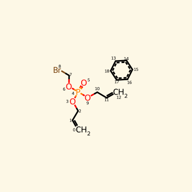 C=CCOP(=O)(OCBr)OCC=C.c1ccccc1